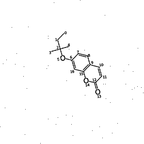 CCC(C)(C)Oc1ccc2ccc(=O)oc2c1